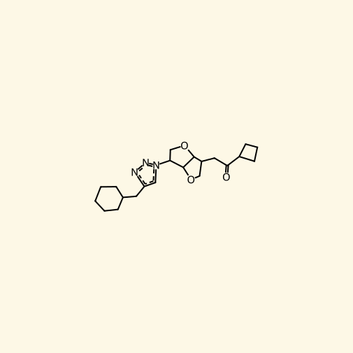 O=C(CC1COC2C1OCC2n1cc(CC2CCCCC2)nn1)C1CCC1